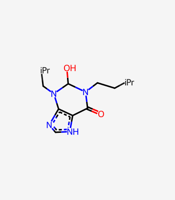 CC(C)CCN1C(=O)c2[nH]cnc2N(CC(C)C)C1O